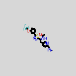 CNCc1ccc(CC(NC(C)=O)c2nnc(-c3cccc(OC(F)(F)F)c3)s2)cn1